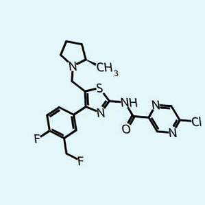 C[C@@H]1CCCN1Cc1sc(NC(=O)c2cnc(Cl)cn2)nc1-c1ccc(F)c(CF)c1